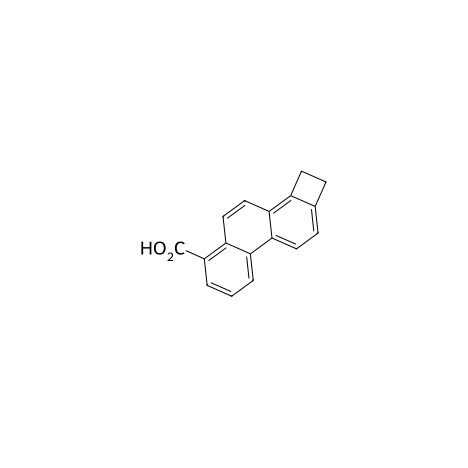 O=C(O)c1cccc2c1ccc1c3c(ccc12)CC3